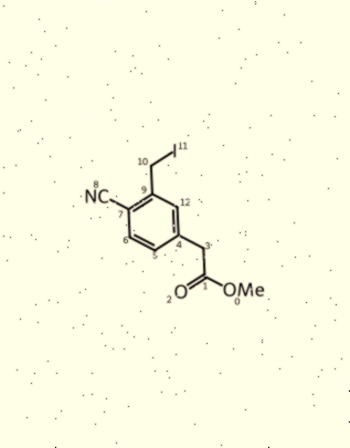 COC(=O)Cc1ccc(C#N)c(CI)c1